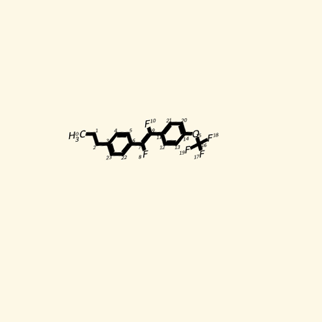 CCCc1ccc(/C(F)=C(\F)c2ccc(OC(F)(F)F)cc2)cc1